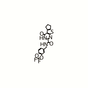 O=C(NCc1ccc2c(c1)OC(F)(F)O2)c1nc2sc3c(c2c(=O)[nH]1)CCC3